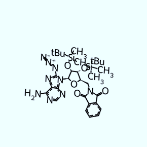 CC(C)(C)[Si](C)(C)OC1[C@H](n2c(N=[N+]=[N-])nc3c(N)ncnc32)O[C@H](CN2C(=O)c3ccccc3C2=O)[C@H]1O[Si](C)(C)C(C)(C)C